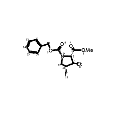 CC[C@@H]1[C@@H](C(=O)OC)N(C(=O)OCc2ccccc2)C[C@@H]1F